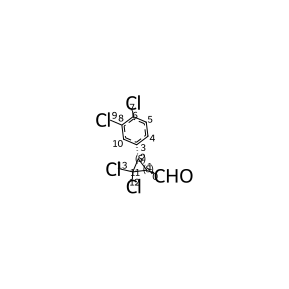 O=C[C@@H]1[C@@H](c2ccc(Cl)c(Cl)c2)C1(Cl)Cl